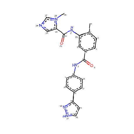 Cc1ccc(C(=O)Nc2ccc(-c3cc[nH]n3)cc2)cc1NC(=O)c1cncn1C